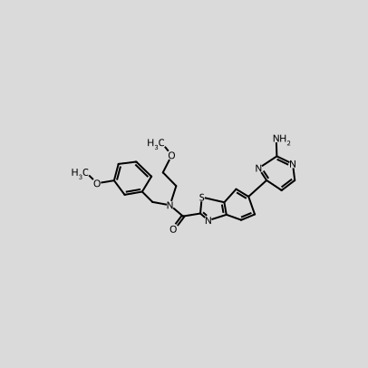 COCCN(Cc1cccc(OC)c1)C(=O)c1nc2ccc(-c3ccnc(N)n3)cc2s1